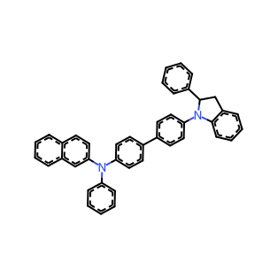 c1ccc(C2Cc3ccccc3N2c2ccc(-c3ccc(N(c4ccccc4)c4ccc5ccccc5c4)cc3)cc2)cc1